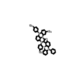 CC(C)(C)c1ccc(N2c3ccc(C(C)(C)C)cc3B3c4oc5ccc6c(c5c4N(c4ccc(C(C)(C)C)cc4)c4cccc2c43)Sc2ccccc2N6c2ccccc2)cc1